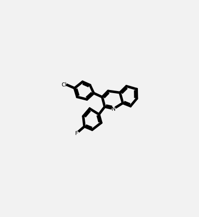 Fc1ccc(-c2nc3ccccc3cc2-c2ccc(Cl)cc2)cc1